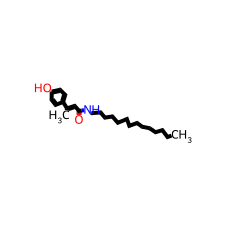 CCCCCCCCCCCCCCNC(=O)C=C(C)c1ccc(O)cc1